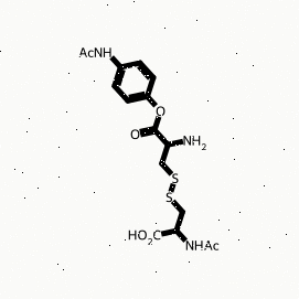 CC(=O)Nc1ccc(OC(=O)C(N)CSSCC(NC(C)=O)C(=O)O)cc1